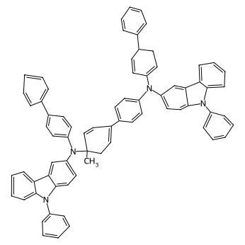 CC1(N(c2ccc(-c3ccccc3)cc2)c2ccc3c(c2)c2ccccc2n3-c2ccccc2)C=CC(c2ccc(N(C3=CCC(c4ccccc4)C=C3)c3ccc4c(c3)c3ccccc3n4-c3ccccc3)cc2)=CC1